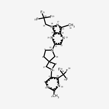 Cc1ncc(N2CC3(CCN(c4cnc5c(C)nn(CC(F)(F)F)c5n4)C3)C2)c(C(F)(F)F)n1